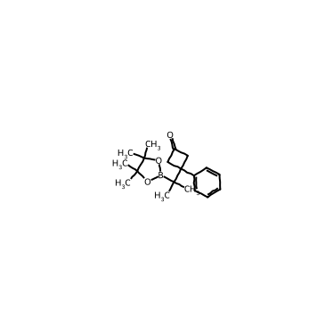 CC1(C)OB(C(C)(C)C2(c3ccccc3)CC(=O)C2)OC1(C)C